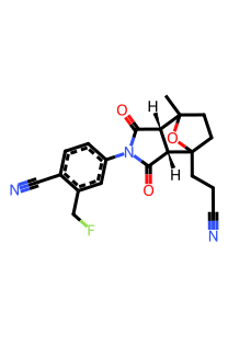 CC12CCC(CCC#N)(O1)[C@@H]1C(=O)N(c3ccc(C#N)c(CF)c3)C(=O)[C@@H]12